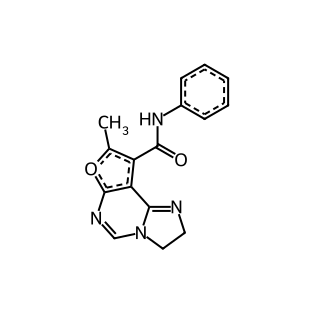 Cc1oc2c(c1C(=O)Nc1ccccc1)C1=NCCN1C=N2